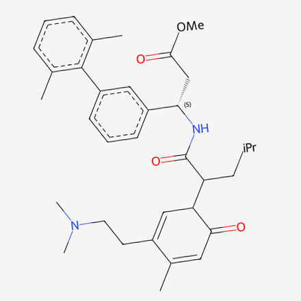 COC(=O)C[C@H](NC(=O)C(CC(C)C)C1C=C(CCN(C)C)C(C)=CC1=O)c1cccc(-c2c(C)cccc2C)c1